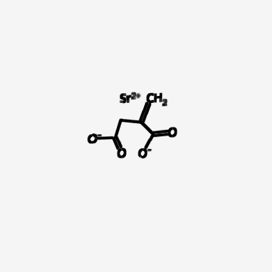 C=C(CC(=O)[O-])C(=O)[O-].[Sr+2]